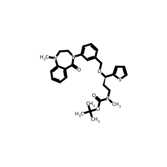 CN(CC[C@@H](OCc1cccc(N2CCN(C)c3ccccc3C2=O)c1)c1cccs1)C(=O)OC(C)(C)C